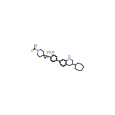 CCC(=O)N1CCC2(CC1)C[C@]2(C(=O)O)c1ccc(-c2ccc3c(c2)NCC(C2CCCCCC2)C3)cc1